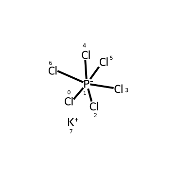 Cl[P-](Cl)(Cl)(Cl)(Cl)Cl.[K+]